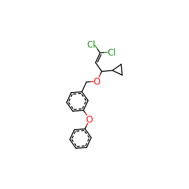 ClC(Cl)=CC(OCc1cccc(Oc2ccccc2)c1)C1CC1